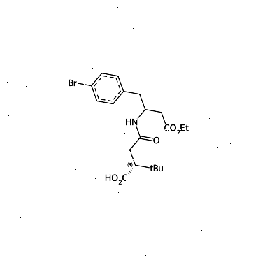 CCOC(=O)CC(Cc1ccc(Br)cc1)NC(=O)C[C@@H](C(=O)O)C(C)(C)C